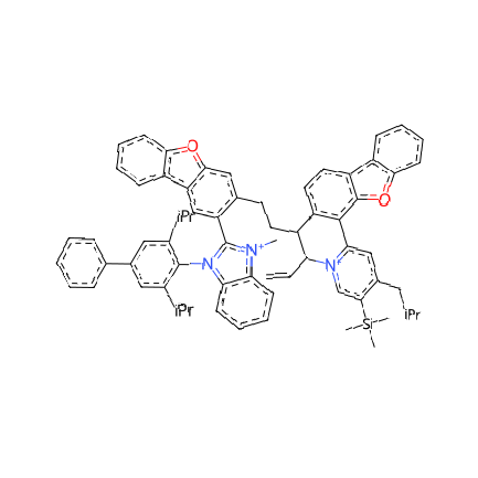 C=CC1C(CCc2cc3oc4ccccc4c3cc2-c2n(-c3c(C(C)C)cc(-c4ccccc4)cc3C(C)C)c3ccccc3[n+]2C)c2ccc3c(oc4ccccc43)c2-c2cc(CC(C)C)c([Si](C)(C)C)c[n+]21